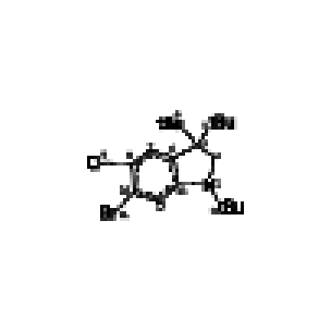 CC(C)(C)N1CC(C(C)(C)C)(C(C)(C)C)c2cc(Cl)c(Br)cc21